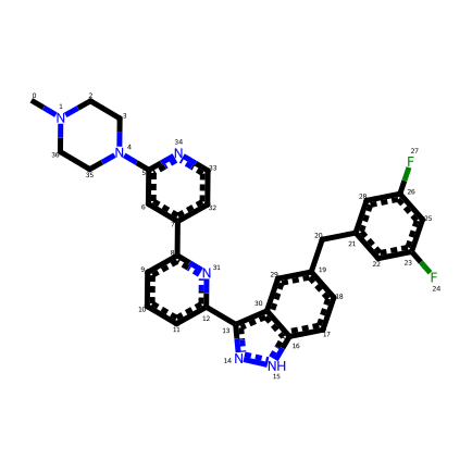 CN1CCN(c2cc(-c3cccc(-c4n[nH]c5ccc(Cc6cc(F)cc(F)c6)cc45)n3)ccn2)CC1